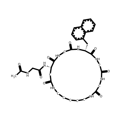 CC(=O)NCC(=O)N[C@H]1CC(=O)NCCCCCNC(=O)CNC(=O)CNC(=O)[C@@H](Cc2cccc3ccccc23)NC(=O)CNC1=O